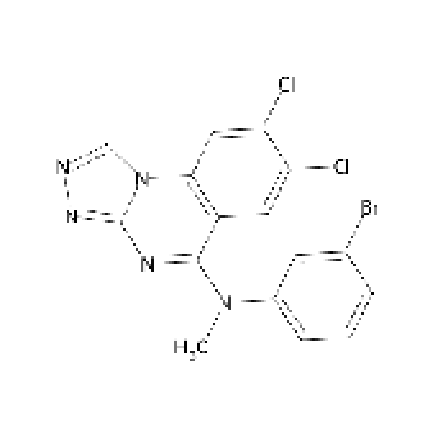 CN(c1cccc(Br)c1)c1nc2nncn2c2cc(Cl)c(Cl)cc12